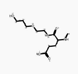 CNC(CCC(=O)O)C(=O)NCCOCCCO